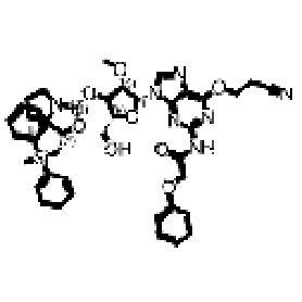 CO[C@H]1C(O[P@]2O[C@H](C[Si](C)(c3ccccc3)c3ccccc3)[C@@H]3CCCN32)[C@@H](CO)O[C@H]1n1cnc2c(OCCC#N)nc(NC(=O)COc3ccccc3)nc21